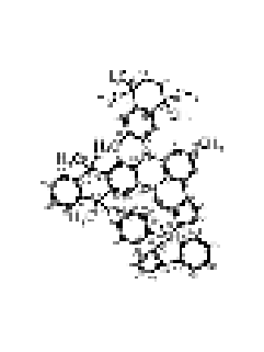 Cc1cc2c3c(c1)N(c1cc4c(cc1C)C(C)(C)CCC4(C)C)c1cc4c(cc1B3N1c3ccccc3[SH]3(I)(c5ccccc5-c5ccccc53)c3cccc-2c31)C(C)(C)c1ccccc1C4(C)C